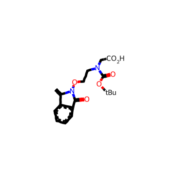 C=C1c2ccccc2C(=O)N1OCCN(CC(=O)O)C(=O)OC(C)(C)C